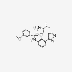 COc1cccc(C(=O)Nc2cccc(-c3ccnn3C)c2OCC(N)C(C)C)c1